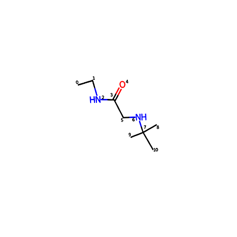 CCNC(=O)CNC(C)(C)C